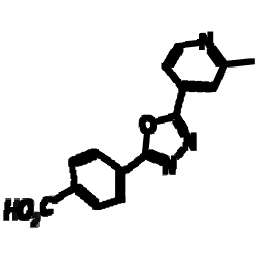 Cc1cc(-c2nnc(-c3ccc(C(=O)O)cc3)o2)ccn1